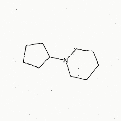 [CH]1CCCCN1C1CCCC1